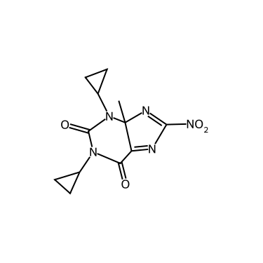 CC12N=C([N+](=O)[O-])N=C1C(=O)N(C1CC1)C(=O)N2C1CC1